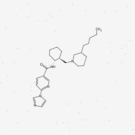 CCCCCC1CCCN(C[C@@H]2CCCC[C@H]2NC(=O)c2ccc(-n3ccnc3)nc2)C1